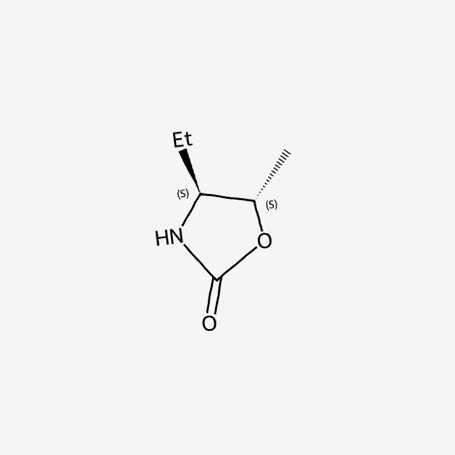 CC[C@@H]1NC(=O)O[C@H]1C